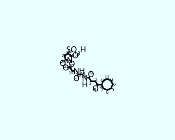 O=C(CCC(=O)C1CCCCCCC1)NCC(=O)NCC(=O)ON1C(=O)CC(S(=O)(=O)O)C1=O